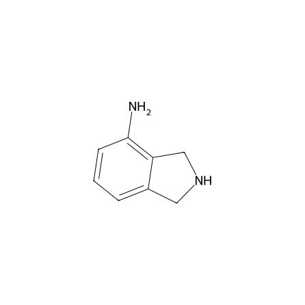 Nc1cccc2c1CNC2